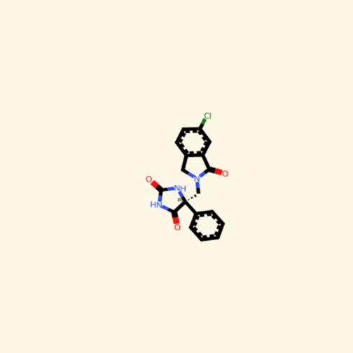 O=C1NC(=O)[C@](CN2Cc3ccc(Cl)cc3C2=O)(c2ccccc2)N1